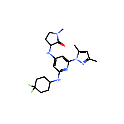 Cc1cc(C)n(-c2cc(N[C@H]3CCN(C)C3=O)cc(NC3CCC(F)(F)CC3)n2)n1